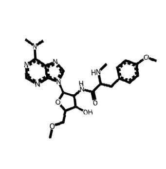 CNC(Cc1ccc(OC)cc1)C(=O)NC1C(O)C(COC)OC1n1cnc2c(N(C)C)ncnc21